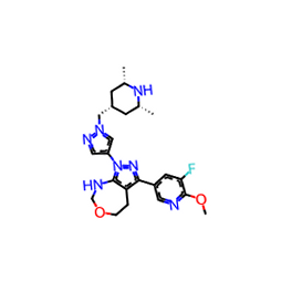 COc1ncc(-c2nn(-c3cnn(C[C@H]4C[C@@H](C)N[C@@H](C)C4)c3)c3c2CCOCN3)cc1F